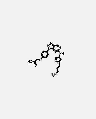 NCCCn1cc(Nc2ncc3nnn(-c4ccc(OCC(=O)O)cc4)c3n2)cn1